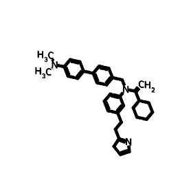 C=C(C1CCCCC1)N(Cc1ccc(-c2ccc(N(C)C)cc2)cc1)c1cccc(CCC2=NC=CC2)c1